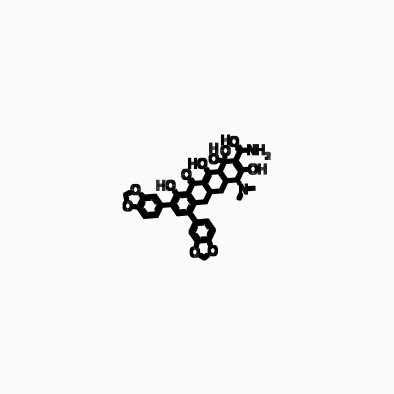 CN(C)[C@@H]1C(O)=C(C(N)=O)C(O)(O)C2C(O)=C3C(=O)c4c(O)c(-c5ccc6c(c5)OCO6)cc(-c5ccc6c(c5)OCO6)c4CC3CC21